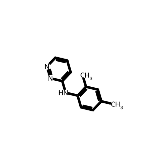 Cc1ccc(Nc2cccnn2)c(C)c1